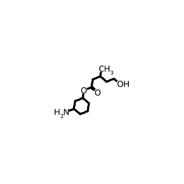 CC(CCO)CC(=O)OC1CCCC(N)C1